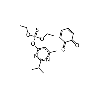 CCOP(=S)(OCC)Oc1cc(C)nc(C(C)C)n1.O=C1C=CC=CC1=O